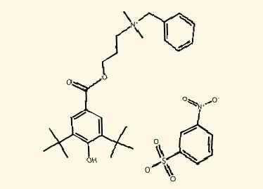 CC(C)(C)c1cc(C(=O)OCCC[N+](C)(C)Cc2ccccc2)cc(C(C)(C)C)c1O.O=[N+]([O-])c1cccc(S(=O)(=O)[O-])c1